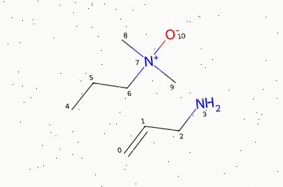 C=CCN.CCC[N+](C)(C)[O-]